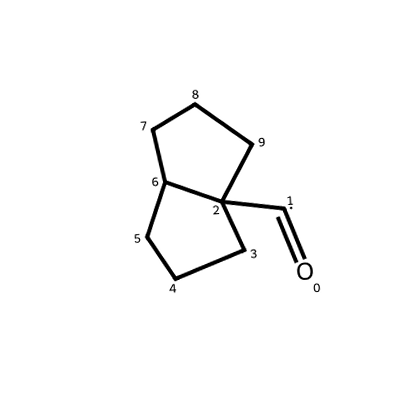 O=[C]C12CCCC1CCC2